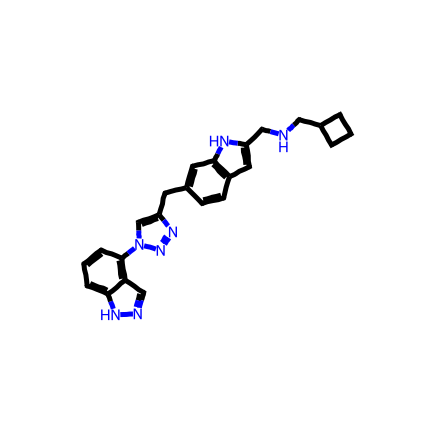 c1cc(-n2cc(Cc3ccc4cc(CNCC5CCC5)[nH]c4c3)nn2)c2cn[nH]c2c1